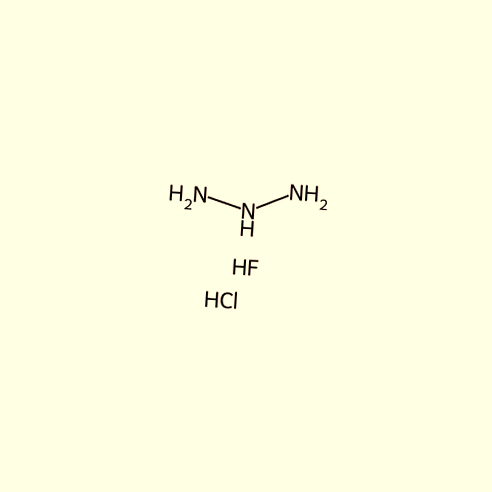 Cl.F.NNN